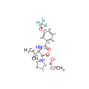 COC(=O)[C@@H]1CCCN1C(=O)C(NC(=O)c1cccc(OC(F)(F)F)c1)C(C)C